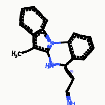 Cc1c2n(c3ccccc13)-c1ccccc1/C(=C/C=N)N2